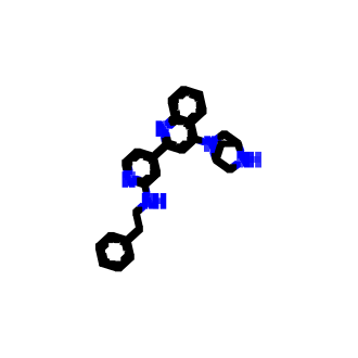 c1ccc(CCNc2cc(-c3cc(N4CC5CC4CN5)c4ccccc4n3)ccn2)cc1